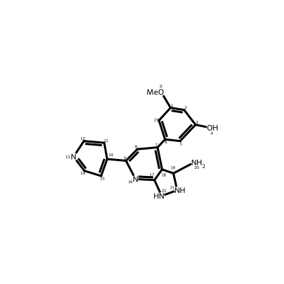 COc1cc(O)cc(-c2cc(-c3ccncc3)nc3c2C(N)NN3)c1